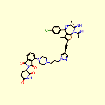 CC(=N)N1C(=N)[C@H](C)N=C(c2ccc(Cl)cc2)c2c1sc(C#Cc1cnn(CCCN3CCN(c4cccc5c4C(=O)N(C4CCC(=O)NC4=O)C5=O)CC3)c1)c2C